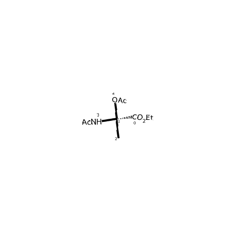 CCOC(=O)[C@](C)(NC(C)=O)OC(C)=O